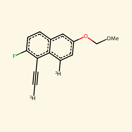 [2H]C#Cc1c(F)ccc2cc(OCOC)cc([2H])c12